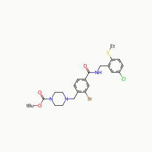 CCSc1ccc(Cl)cc1CNC(=O)c1ccc(CN2CCN(C(=O)OC(C)(C)C)CC2)c(Br)c1